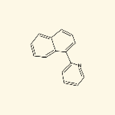 [c]1ccc2cccc(-c3ccccn3)c2c1